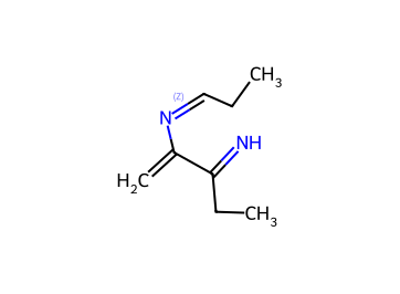 C=C(/N=C\CC)C(=N)CC